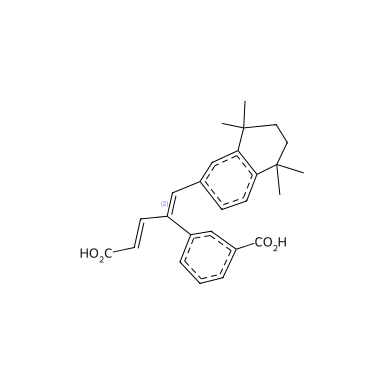 CC1(C)CCC(C)(C)c2cc(/C=C(/C=CC(=O)O)c3cccc(C(=O)O)c3)ccc21